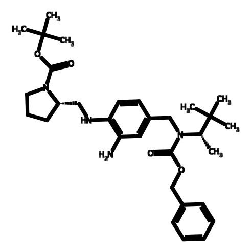 C[C@H](N(Cc1ccc(NC[C@@H]2CCCN2C(=O)OC(C)(C)C)c(N)c1)C(=O)OCc1ccccc1)C(C)(C)C